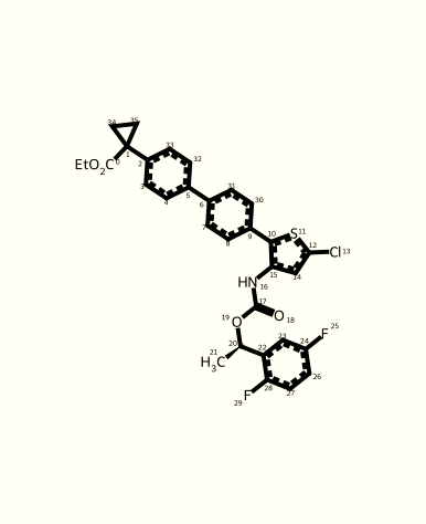 CCOC(=O)C1(c2ccc(-c3ccc(-c4sc(Cl)cc4NC(=O)O[C@H](C)c4cc(F)ccc4F)cc3)cc2)CC1